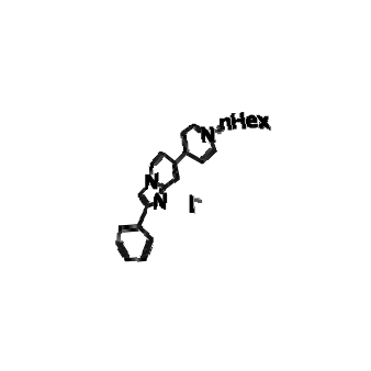 CCCCCC[n+]1ccc(-c2ccn3cc(-c4ccccc4)nc3c2)cc1.[I-]